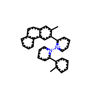 Cc1ccccc1-c1cccc[n+]1-[n+]1ccccc1-c1cc2c(ccc3ccccc32)cc1C